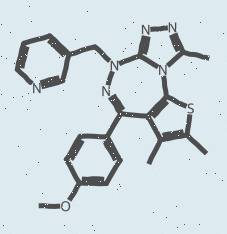 COc1ccc(C2=NN(Cc3cccnc3)c3nnc(C)n3-c3sc(C)c(C)c32)cc1